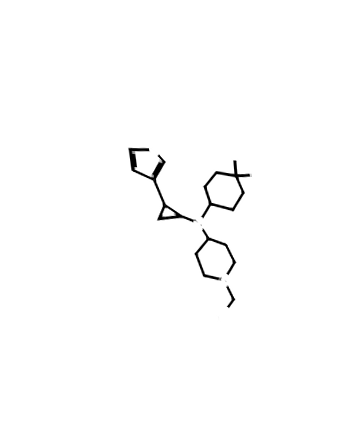 FC(F)(F)CN1CCC(N(C2CCC(F)(F)CC2)C2CC2c2ccsc2)CC1